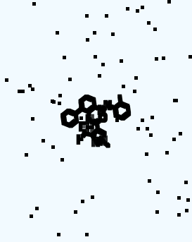 Cc1ccccc1/N=N/c1cccc(-c2ccccc2)c1NC(=O)c1cn(C)nc1C(F)F